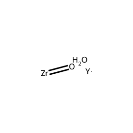 O.[O]=[Zr].[Y]